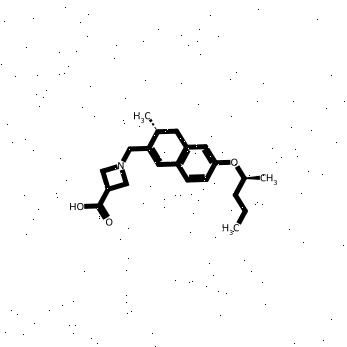 CCC[C@H](C)Oc1ccc2c(c1)C[C@@H](C)C(CN1CC(C(=O)O)C1)=C2